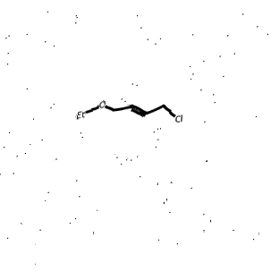 C[CH]OC/C=C/CCl